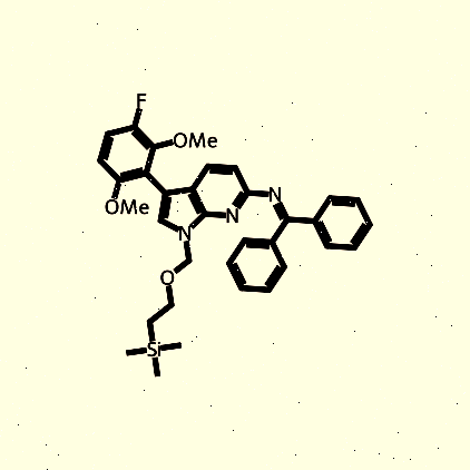 COc1ccc(F)c(OC)c1-c1cn(COCC[Si](C)(C)C)c2nc(N=C(c3ccccc3)c3ccccc3)ccc12